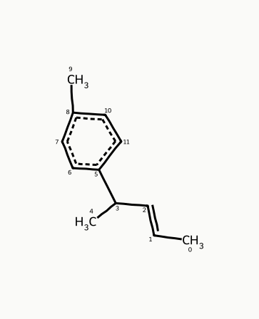 CC=CC(C)c1ccc(C)cc1